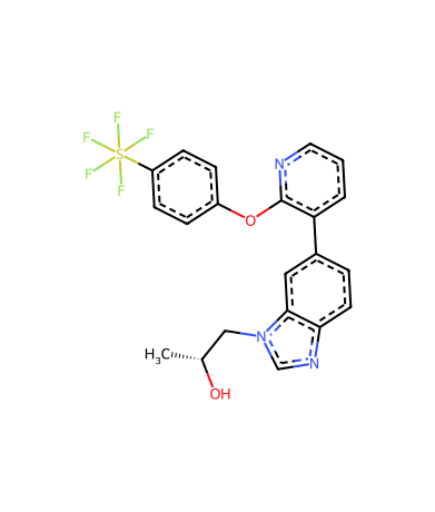 C[C@@H](O)Cn1cnc2ccc(-c3cccnc3Oc3ccc(S(F)(F)(F)(F)F)cc3)cc21